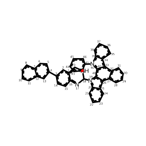 C1=c2cc(-c3ccc4ccccc4c3)ccc2=NC(n2c3ccccc3c3c4ccccc4c4c5ccccc5n(-c5ccccc5)c4c32)N1